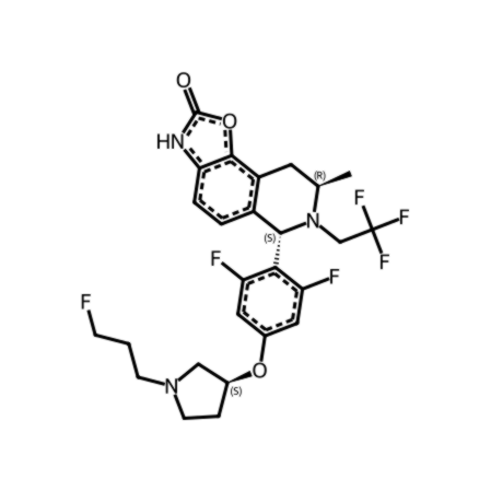 C[C@@H]1Cc2c(ccc3[nH]c(=O)oc23)[C@@H](c2c(F)cc(O[C@H]3CCN(CCCF)C3)cc2F)N1CC(F)(F)F